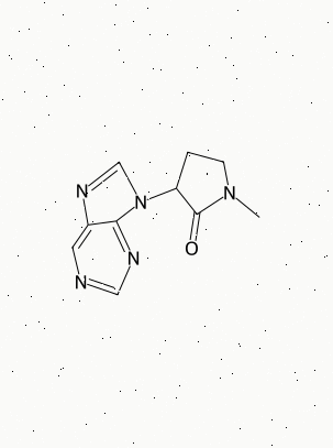 CN1CCC(n2cnc3cncnc32)C1=O